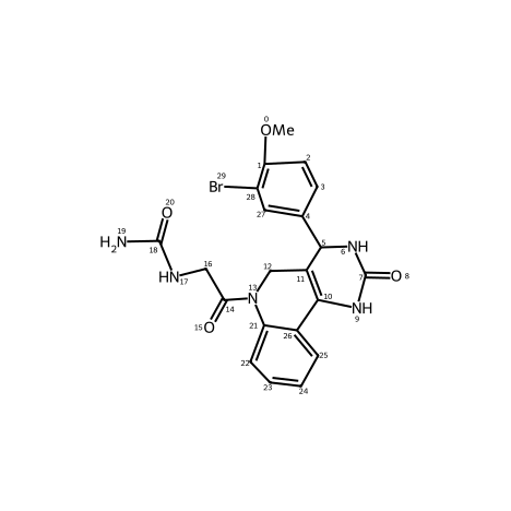 COc1ccc(C2NC(=O)NC3=C2CN(C(=O)CNC(N)=O)c2ccccc23)cc1Br